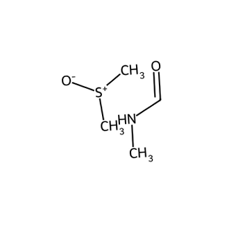 CNC=O.C[S+](C)[O-]